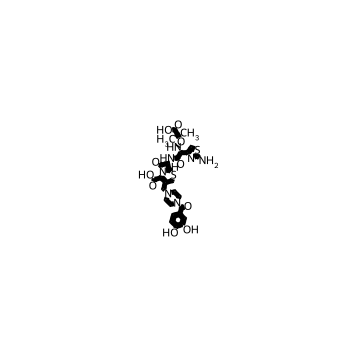 CC(C)(ONC(C(=O)N[C@@H]1C(=O)N2C(C(=O)O)=C(CN3CCN(C(=O)c4ccc(O)c(O)c4)CC3)CS[C@@H]12)c1csc(N)n1)C(=O)O